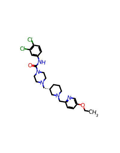 CCOc1ccc(CN2CCC[C@@H](CN3CCN(C(=O)Nc4ccc(Cl)c(Cl)c4)CC3)C2)nc1